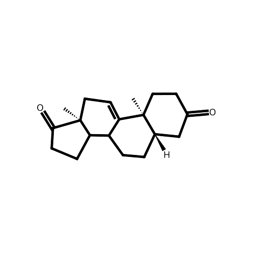 C[C@]12CC=C3C(CC[C@H]4CC(=O)CC[C@]34C)C1CCC2=O